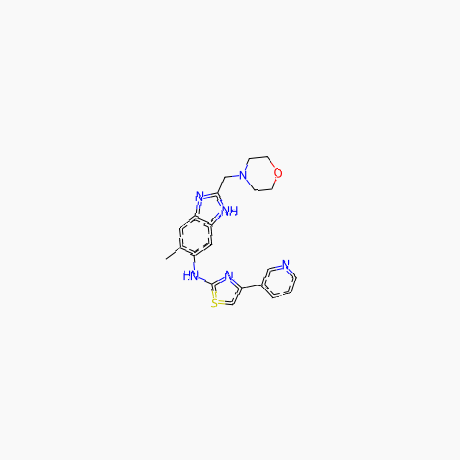 Cc1cc2nc(CN3CCOCC3)[nH]c2cc1Nc1nc(-c2cccnc2)cs1